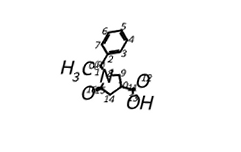 C[C@H](c1ccccc1)N1CC(C(=O)O)CC1=O